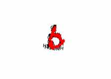 C=C1C[C@@H]2CCC(O)/C=C/[C@H](O)[C@@H]3OC4CC[C@H](CC(=O)C[C@@H]5[C@@H](OC)[C@@H](C[C@H]6CN(C(=O)OC(C)(C)C)C(C)(C)O6)O[C@H]5C[C@H]5O[C@@H](CC[C@@H]1O2)C[C@@H](C)C5=C)O[C@@H]4[C@H](OS)[C@@H]3O